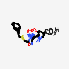 O=C(O)c1cnc(-c2noc(CSCc3ccccc3)n2)c(O)c1